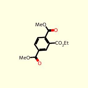 CCOC(=O)c1cc(C(=O)OC)ccc1C(=O)OC